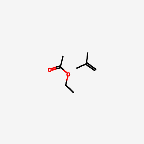 C=C(C)C.CCOC(C)=O